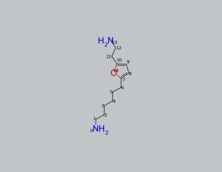 NCCCCCCc1ccc(CCN)o1